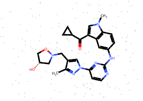 Cc1nn(-c2ccnc(Nc3ccc4c(c3)c(C(=O)C3CC3)cn4C)n2)cc1CN1C[C@H](O)CO1